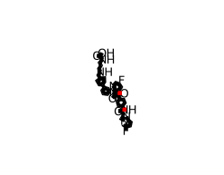 O=C(O)NCCCNCc1ccc(-c2cccc(-n3c(=O)n(C4CCC(NC(=O)c5cn6cc(F)ccc6n5)CC4)c(=O)c4cc(F)cnc43)c2)cc1